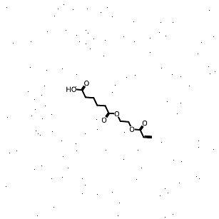 C=CC(=O)OCCOC(=O)CCCCC(=O)O